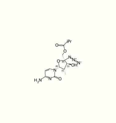 CC(C)C(=O)OC[C@@]1(N=[N+]=[N-])O[C@@H](n2ccc(N)nc2=O)[C@@H](C)[C@@H]1O